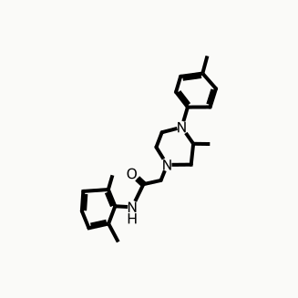 Cc1ccc(N2CCN(CC(=O)Nc3c(C)cccc3C)CC2C)cc1